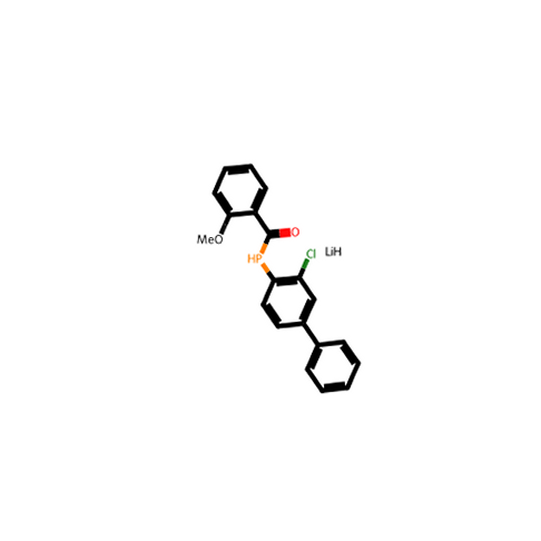 COc1ccccc1C(=O)Pc1ccc(-c2ccccc2)cc1Cl.[LiH]